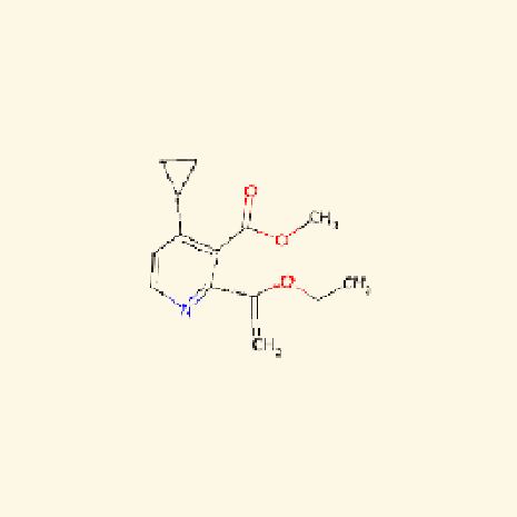 C=C(OCC)c1nccc(C2CC2)c1C(=O)OC